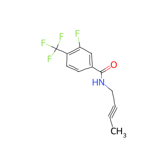 CC#CCNC(=O)c1ccc(C(F)(F)F)c(F)c1